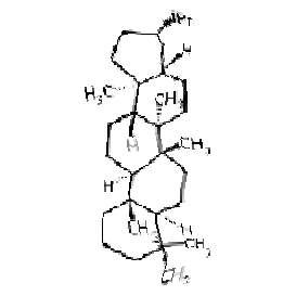 CC(C)[C@@H]1CC[C@]2(C)[C@H]3CC[C@@H]4[C@@]5(C)CCCC(C)(C)[C@@H]5CC[C@@]4(C)[C@]3(C)CC[C@@H]12